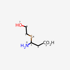 NC(CC(=O)O)SCCO